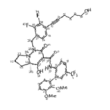 COc1cccc(-c2cc(C(F)(F)F)ccc2NC(=O)C2=C(O)[C@@]3(C)CCCN3N(Cc3ccc(C#CCCCCO)c(F)c3F)C2=O)c1OC